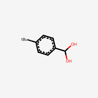 CC(C)(C)c1ccc(C(O)O)cc1